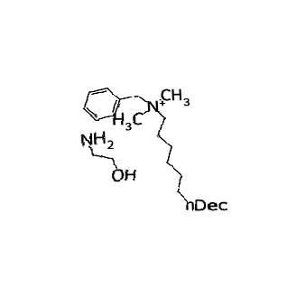 CCCCCCCCCCCCCCCC[N+](C)(C)Cc1ccccc1.NCCO